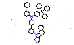 C1=CCCC(c2cccc(N(c3ccc(C(c4ccccc4)(c4ccccc4)c4ccccc4)cc3)C3C=CC(c4cccc(-n5c6ccccc6c6ccc7ccccc7c65)c4)=CC3)c2)=C1